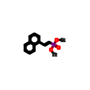 CCOP(=O)(C=Cc1cccc2ccccc12)OCC